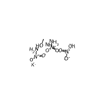 CO.N.N[N+](=O)[O-].N[N+](=O)[O-].O=[N+]([O-])O.[K]